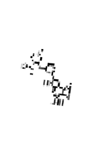 CNc1nc2[nH]c(-c3cccc(CC4CN(C)CCN4C(=O)O)c3)cc2c2c1ncn2C